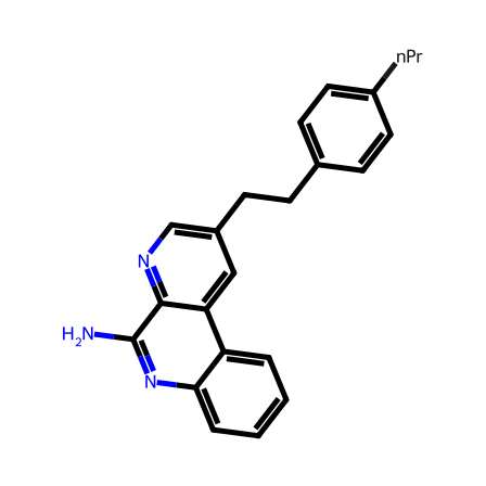 CCCc1ccc(CCc2cnc3c(N)nc4ccccc4c3c2)cc1